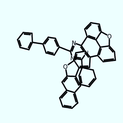 C1=CCC(c2nc(-c3ccc(-c4ccccc4)cc3)nc(-c3cccc4oc5cccc(-c6ccc7oc8cc9ccccc9cc8c7c6)c5c34)n2)C=C1